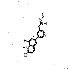 CCSNCc1cncc(-c2cc(F)c3c(ccc(=O)n3C)c2)c1